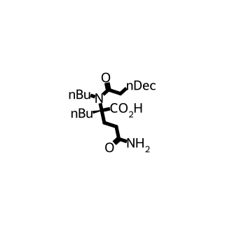 CCCCCCCCCCCC(=O)N(CCCC)[C@@](CCCC)(CCC(N)=O)C(=O)O